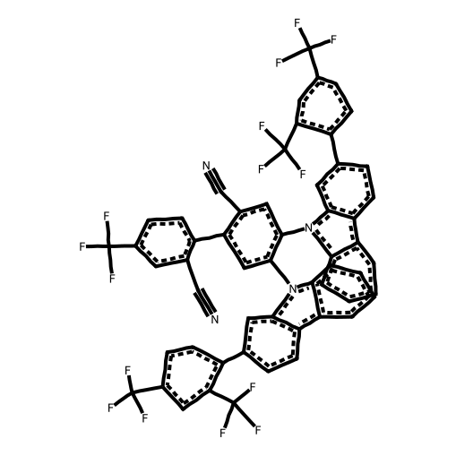 N#Cc1cc(C(F)(F)F)ccc1-c1cc(-n2c3ccccc3c3ccc(-c4ccc(C(F)(F)F)cc4C(F)(F)F)cc32)c(-n2c3ccccc3c3ccc(-c4ccc(C(F)(F)F)cc4C(F)(F)F)cc32)cc1C#N